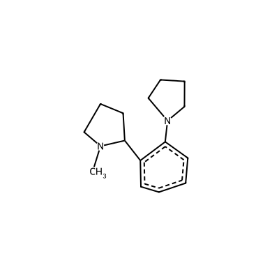 CN1CCCC1c1ccccc1N1CCCC1